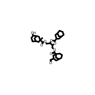 CC1(C(=O)OCC2OC(C3CC4CCCC(C4)C3)OC2COC(=O)C23CCCC(CC(C=O)C2)C3)CC2CCC(O)C(C2)C1